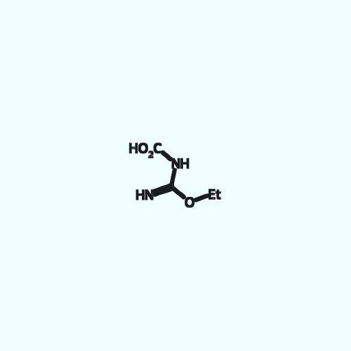 CCOC(=N)NC(=O)O